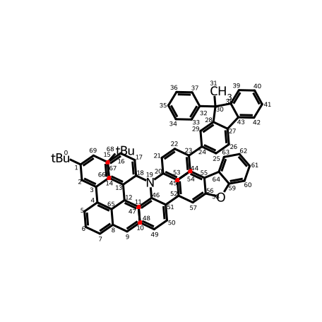 CC(C)(C)c1cc(-c2cccc3cccc(-c4ccccc4N(c4ccc(-c5ccc6c(c5)C(C)(c5ccccc5)c5ccccc5-6)cc4)c4ccccc4-c4ccc5c(c4)oc4ccccc45)c23)cc(C(C)(C)C)c1